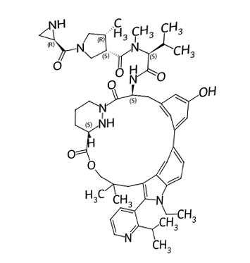 CCn1c(-c2cccnc2C(C)C)c2c3cc(ccc31)-c1cc(O)cc(c1)C[C@H](NC(=O)[C@H](C(C)C)N(C)C(=O)[C@@H]1CN(C(=O)[C@H]3CN3)C[C@@H]1C)C(=O)N1CCC[C@H](N1)C(=O)OCC(C)(C)C2